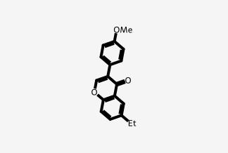 CCc1ccc2occ(-c3ccc(OC)cc3)c(=O)c2c1